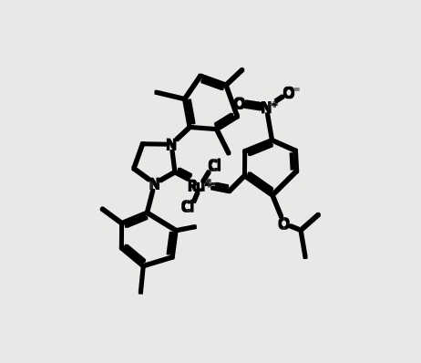 Cc1cc(C)c(N2CCN(c3c(C)cc(C)cc3C)[C]2=[Ru-4]([Cl])([Cl])=[CH]c2cc([N+](=O)[O-])ccc2OC(C)C)c(C)c1